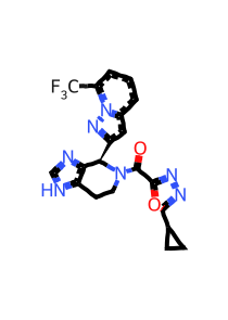 O=C(c1nnc(C2CC2)o1)N1CCc2[nH]cnc2[C@H]1c1cc2cccc(C(F)(F)F)n2n1